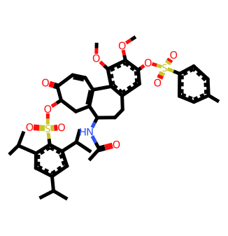 COc1c(OS(=O)(=O)c2ccc(C)cc2)cc2c(c1OC)C1=C(CC(OS(=O)(=O)c3c(C(C)C)cc(C(C)C)cc3C(C)C)C(=O)C=C1)C(NC(C)=O)CC2